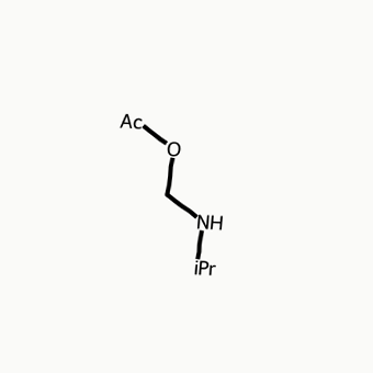 CC(=O)OCNC(C)C